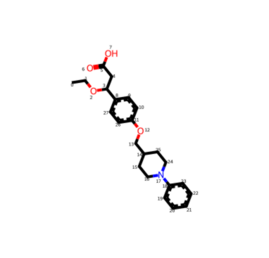 CCOC(CC(=O)O)c1ccc(OCC2CCN(c3ccccc3)CC2)cc1